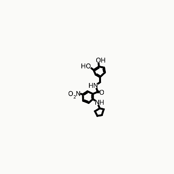 O=C(NCc1ccc(O)c(O)c1)c1cc([N+](=O)[O-])ccc1NC1CCCC1